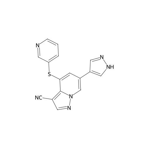 N#Cc1cnn2cc(-c3cn[nH]c3)cc(Sc3cccnc3)c12